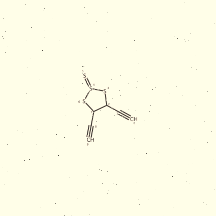 C#CC1SS(=S)SC1C#C